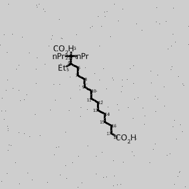 CCCC(CCC)(C(=O)O)C(CC)CCCCCCCCCCCCC(=O)O